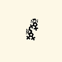 CC(C)(C)C1Cc2cc(CC(C)(C)C3c4nccnc4CC3C(C)(C)C)nnc2C1C(C)(C)C